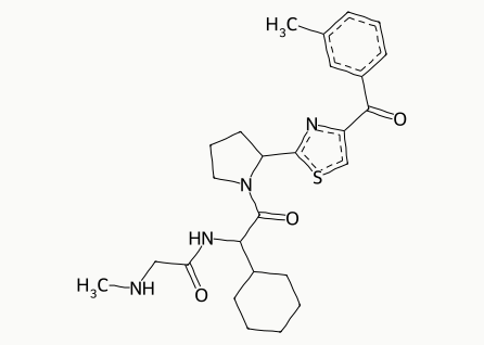 CNCC(=O)NC(C(=O)N1CCCC1c1nc(C(=O)c2cccc(C)c2)cs1)C1CCCCC1